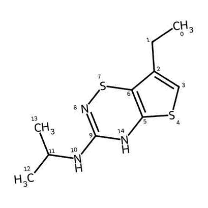 CCc1csc2c1SN=C(NC(C)C)N2